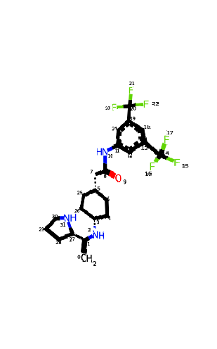 C=C(N[C@H]1CC[C@@H](CC(=O)Nc2cc(C(F)(F)F)cc(C(F)(F)F)c2)CC1)[C@H]1CCCN1